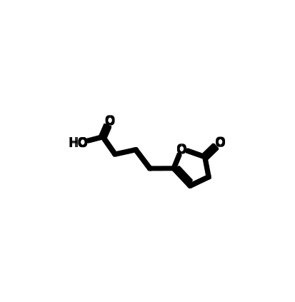 O=C(O)CCCC1=CCC(=O)O1